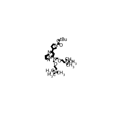 CC(C)(C)OC(=O)N1CCC(c2cc(N(COCC[Si](C)(C)C)COCC[Si](C)(C)C)n3nccc3n2)C1